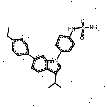 CCc1ccc(-c2ccc3c(C(C)C)cn(-c4ccc(NS(N)(=O)=O)cc4)c3c2)cc1